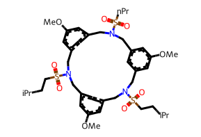 CCCS(=O)(=O)N1Cc2cc(cc(OC)c2)CN(S(=O)(=O)CCC(C)C)Cc2cc(cc(OC)c2)CN(S(=O)(=O)CCC(C)C)Cc2cc(cc(OC)c2)C1